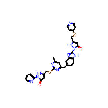 Cc1cc(Cc2ccc3[nH]c(-n4[nH]c(CSc5ccncc5)cc4=O)nc3c2)nc(SCc2cc(=O)n(-c3ccccn3)[nH]2)n1